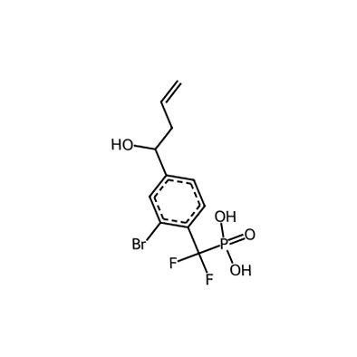 C=CCC(O)c1ccc(C(F)(F)P(=O)(O)O)c(Br)c1